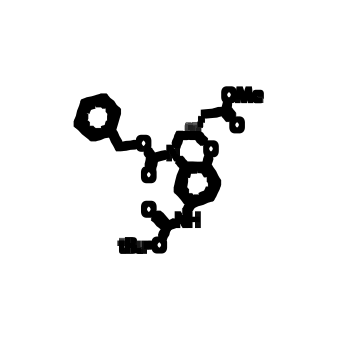 COC(=O)C[C@H]1CN(C(=O)OCc2ccccc2)c2cc(NC(=O)OC(C)(C)C)ccc2O1